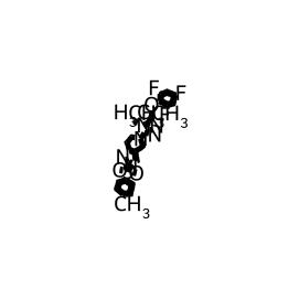 CCn1c(N2CCc3nn(S(=O)(=O)c4ccc(C)cc4)cc3C2)nnc1C(C)(C)Oc1c(F)cc(F)cc1F